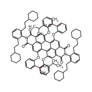 CC(C)c1ccccc1Oc1cc2c3c(cc(Oc4ccccc4C(C)C)c4c5c(Oc6ccccc6C(C)C)cc6c7c(cc(Oc8ccccc8C(C)C)c(c1c34)c75)C(=O)N(c1c(CCC3CCCCC3)cccc1CCC1CCCCC1)C6=O)C(=O)N(c1c(CCC3CCCCC3)cccc1CCC1CCCCC1)C2=O